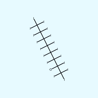 [O]C(I)(C(I)(I)I)C(I)(I)C(I)(I)C(I)(I)C(I)(I)C(I)(I)C(I)(I)I